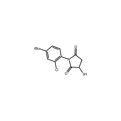 CC(C)(C)c1ccc(N2C(=O)CC(S)C2=O)c(Cl)c1